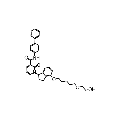 O=C(Nc1ccc(-c2ccccc2)cc1)c1cccn(C2CCc3c(OCCCCCOCCO)cccc32)c1=O